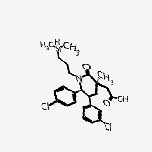 C[SiH](C)CCCN1C(=O)[C@@](C)(CC(=O)O)CC(c2cccc(Cl)c2)[C@H]1c1ccc(Cl)cc1